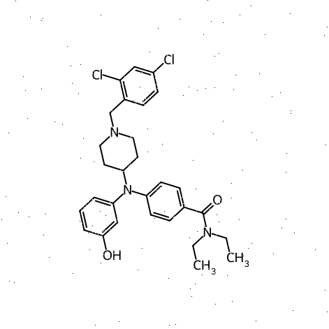 CCN(CC)C(=O)c1ccc(N(c2cccc(O)c2)C2CCN(Cc3ccc(Cl)cc3Cl)CC2)cc1